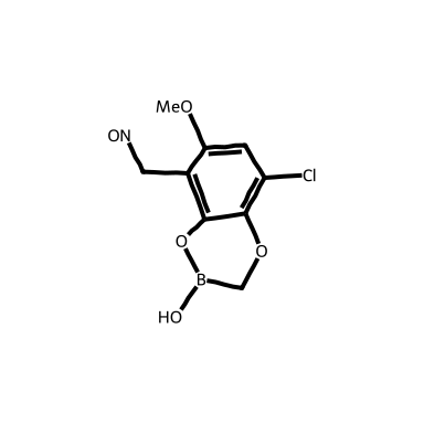 COc1cc(Cl)c2c(c1CN=O)OB(O)CO2